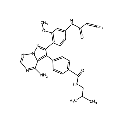 C=CC(=O)Nc1ccc(-c2nn3ncnc(N)c3c2-c2ccc(C(=O)NCC(C)C)cc2)c(OC)c1